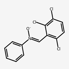 [O-][N+](=Cc1c(Cl)ccc(Cl)c1Cl)c1ccccc1